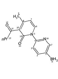 Bc1ccc(-n2ccc(C)c(C(=O)CCC)c2=O)nc1